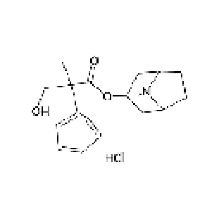 CN1C2CCC1CC(OC(=O)C(C)(CO)c1ccccc1)C2.Cl